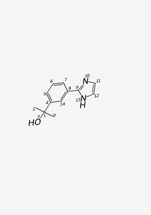 CC(C)(O)c1cccc(-c2ncc[nH]2)c1